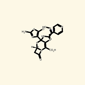 Nc1nc(C2(NC(=O)/C=N\O)S[C@H]3CC(=O)N3C(C(=O)O)=C2SCc2ccncc2)c(Cl)s1